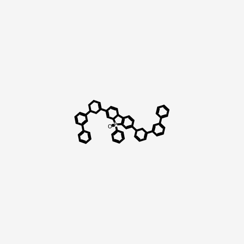 O=P1(c2ccccc2)c2cc(C3C=CC=C(c4cccc(-c5ccccc5)c4)C3)ccc2C2C=CC(C3=CCCC(c4cccc(-c5ccccc5)c4)C3)=CC21